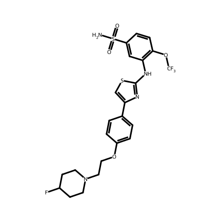 NS(=O)(=O)c1ccc(OC(F)(F)F)c(Nc2nc(-c3ccc(OCCN4CCC(F)CC4)cc3)cs2)c1